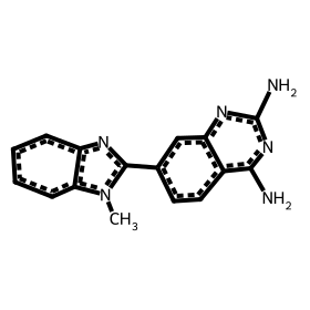 Cn1c(-c2ccc3c(N)nc(N)nc3c2)nc2ccccc21